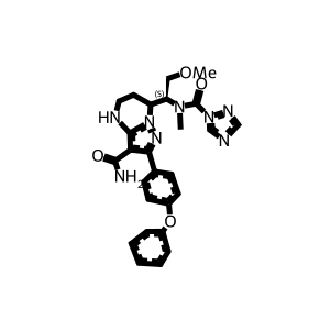 COC[C@H](C1CCNc2c(C(N)=O)c(-c3ccc(Oc4ccccc4)cc3)nn21)N(C)C(=O)n1cncn1